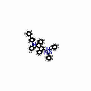 c1ccc(-c2ccc(-n3c4ccccc4c4c5c6ccccc6c(-c6nc(-c7ccccc7)nc(-c7ccccc7)n6)cc5c5ccccc5c43)cc2)cc1